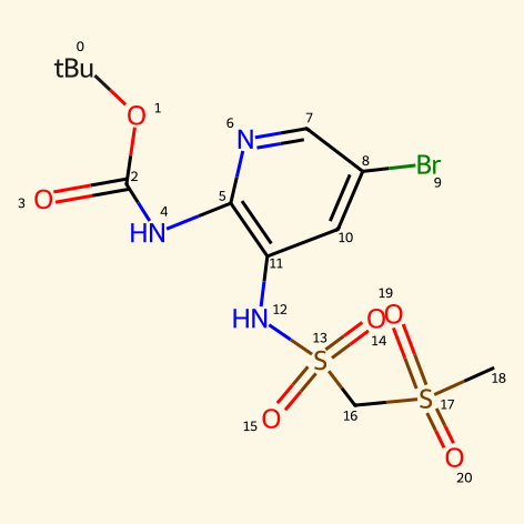 CC(C)(C)OC(=O)Nc1ncc(Br)cc1NS(=O)(=O)CS(C)(=O)=O